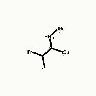 CC(C)C(C)C(NC(C)(C)C)C(C)(C)C